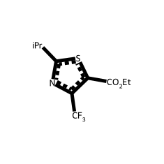 CCOC(=O)c1sc(C(C)C)nc1C(F)(F)F